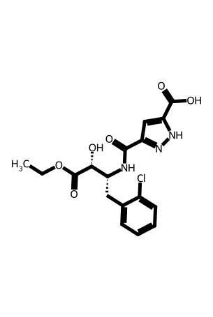 CCOC(=O)[C@H](O)[C@@H](Cc1ccccc1Cl)NC(=O)c1cc(C(=O)O)[nH]n1